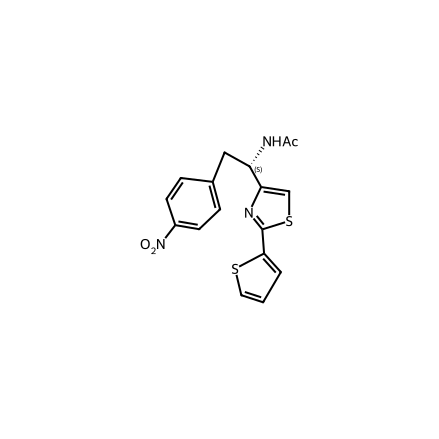 CC(=O)N[C@@H](Cc1ccc([N+](=O)[O-])cc1)c1csc(-c2cccs2)n1